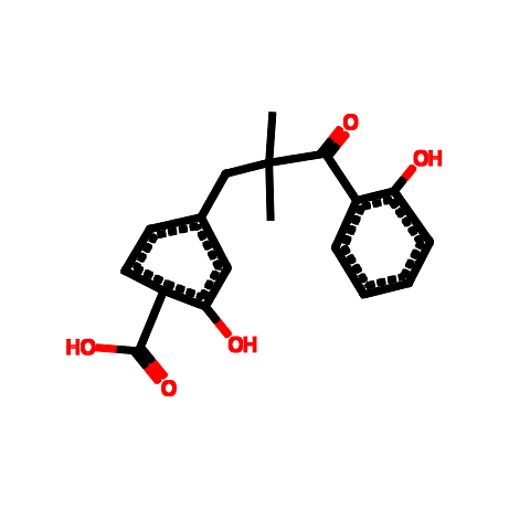 CC(C)(Cc1ccc(C(=O)O)c(O)c1)C(=O)c1ccccc1O